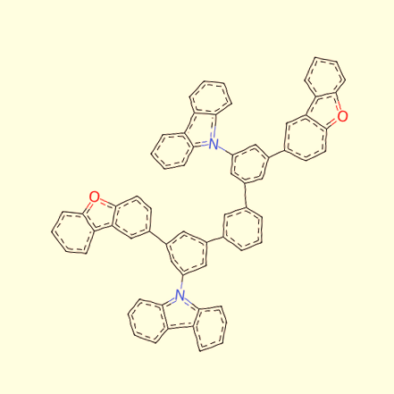 c1cc(-c2cc(-c3ccc4oc5ccccc5c4c3)cc(-n3c4ccccc4c4ccccc43)c2)cc(-c2cc(-c3ccc4oc5ccccc5c4c3)cc(-n3c4ccccc4c4ccccc43)c2)c1